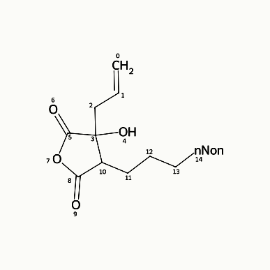 C=CCC1(O)C(=O)OC(=O)C1CCCCCCCCCCCC